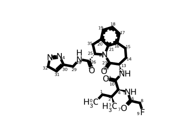 CC[C@H](C)[C@H](NC(=O)CF)C(=O)N[C@H]1CCc2cccc3c2N(C1=O)[C@H](C(=O)NCC1=CCN=N1)C3